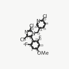 COc1cc(F)c(-c2c(Cl)nc(Cl)n2Cc2ccc(Cl)nc2)c(F)c1